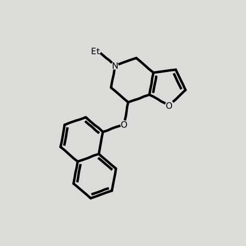 CCN1Cc2ccoc2C(Oc2cccc3ccccc23)C1